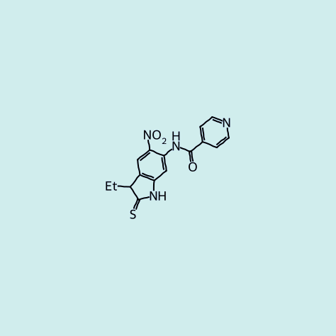 CCC1C(=S)Nc2cc(NC(=O)c3ccncc3)c([N+](=O)[O-])cc21